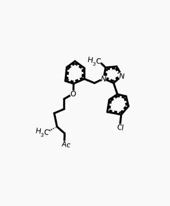 CC(=O)C[C@H](C)CCCOc1ccccc1Cn1c(C)cnc1-c1ccc(Cl)cc1